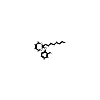 CCCCCCCCC1(Oc2ccccc2C)OCC=CCO1